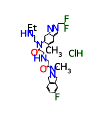 CCNCCN(C(=O)CNCC(=O)N(C)N1Cc2ccc(F)cc2C1)c1cc2nn(CC(F)F)cc2cc1C.Cl